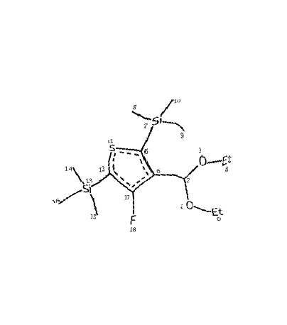 CCOC(OCC)c1c([Si](C)(C)C)sc([Si](C)(C)C)c1F